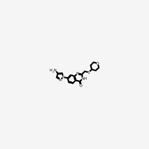 Nc1cnn(-c2ccc3c(=O)[nH]c(CSC4CCOCC4)nc3c2)c1